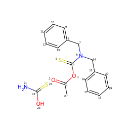 CC(=O)OC(=S)N(Cc1ccccc1)Cc1ccccc1.NC(O)=S